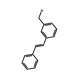 BrCc1cccc(C=Cc2ccccc2)c1